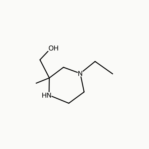 CCN1CCNC(C)(CO)C1